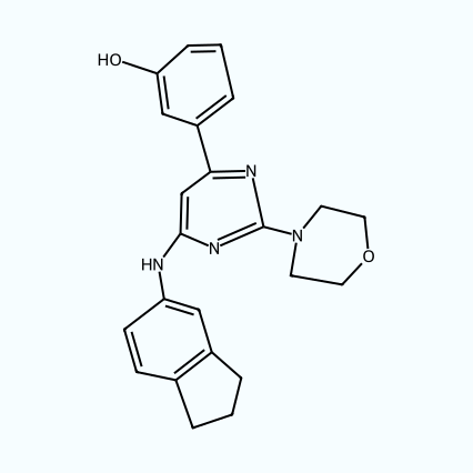 Oc1cccc(-c2cc(Nc3ccc4c(c3)CCC4)nc(N3CCOCC3)n2)c1